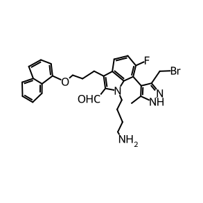 Cc1[nH]nc(CBr)c1-c1c(F)ccc2c(CCCOc3cccc4ccccc34)c(C=O)n(CCCCN)c12